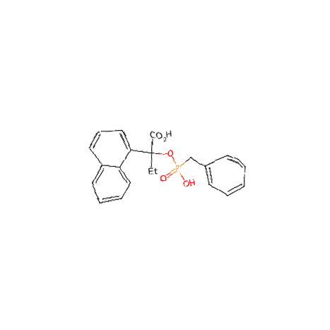 CCC(OP(=O)(O)Cc1ccccc1)(C(=O)O)c1cccc2ccccc12